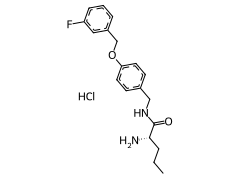 CCC[C@H](N)C(=O)NCc1ccc(OCc2cccc(F)c2)cc1.Cl